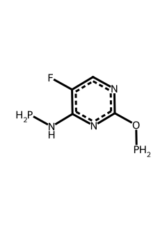 Fc1cnc(OP)nc1NP